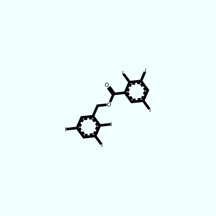 O=C(OCc1cc(I)cc(I)c1I)c1cc(I)cc(I)c1I